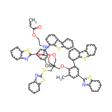 C=CC(=O)OCCNC(=O)OCC(COc1c(C)cc(-c2nc3ccccc3s2)cc1-c1cccc2c1sc1ccccc12)(COc1c(OC)cc(-c2nc3ccccc3s2)cc1-c1cccc2c1sc1ccccc12)CSc1nc2ccccc2s1